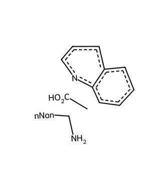 CC(=O)O.CCCCCCCCCCN.c1ccc2ncccc2c1